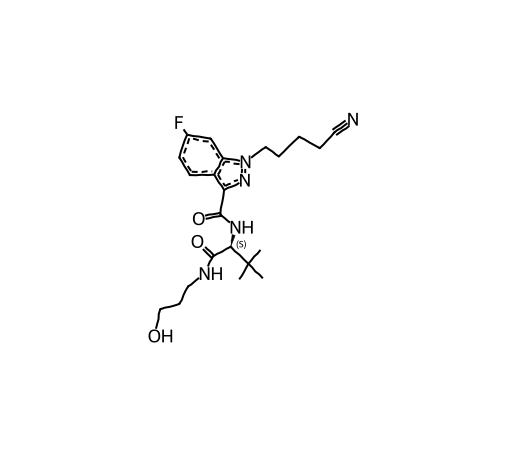 CC(C)(C)[C@H](NC(=O)c1nn(CCCCC#N)c2cc(F)ccc12)C(=O)NCCCO